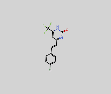 O=c1nc(C=Cc2ccc(Cl)cc2)cc(C(F)(F)F)[nH]1